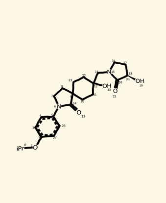 CC(C)Oc1ccc(N2CCC3(CCC(O)(CN4CC[C@@H](O)C4=O)CC3)C2=O)cc1